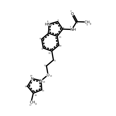 CC(=O)Nc1c[nH]c2ccc(CCOn3cc(C)cn3)cc12